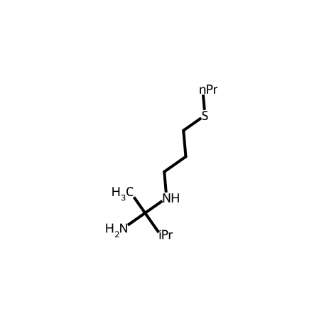 CCCSCCCNC(C)(N)C(C)C